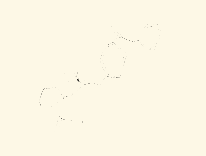 N[C@@H](Cc1ccc(C(=O)c2ccccc2)cc1)CN1CCC[C@H]1C(=O)O